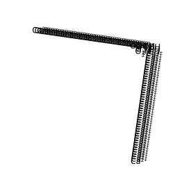 O=[N+]([O-])O.O=[N+]([O-])O.O=[N+]([O-])O.O=[N+]([O-])O.[Ca+2].[Ca+2].[Ca+2].[Ca+2].[Ca+2].[Ca+2].[Ca+2].[Ca+2].[Ca+2].[Ca+2].[Ca+2].[Ca+2].[Ca+2].[Ca+2].[Ca+2].[Ca+2].[Ca+2].[Ca+2].[Ca+2].[Ca+2].[Ca+2].[Ca+2].[Ca+2].[Ca+2].[Ca+2].[Ca+2].[Ca+2].[Ca+2].[Ca+2].[Ca+2].[Ca+2].[Ca+2].[Ca+2].[Ca+2].[Ca+2].[Ca+2].[Ca+2].[Ca+2].[Ca+2].[Ca+2].[Ca+2].[Ca+2].[Ca+2].[Ca+2].[Ca+2].[Ca+2].[Ca+2].[Ca+2].[Ca+2].[Ca+2].[Ca+2].[Ca+2].[Ca+2].[Ca+2].[Ca+2].[Ca+2].[Ca+2].[Ca+2].[Ca+2].[Ca+2].[Ca+2].[Ca+2].[Ca+2].[Ca+2].[Ca+2].[Ca+2].[Ca+2].[Ca+2].[Ca+2].[Ca+2].[Ca+2].[Ca+2].[Ca+2].[Ca+2].[Ca+2].[Ca+2].[Ca+2].[Ca+2].[Ca+2].[Ca+2].[Ca+2].[Ca+2].[Ca+2].[Ca+2].[Ca+2].[Ca+2].[Ca+2].[Ca+2].[Ca+2].[Ca+2].[Ca+2].[Ca+2].[Ca+2].[Ca+2].[Ca+2]